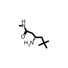 CNC(=O)C[C@H](N)CC(C)(C)C